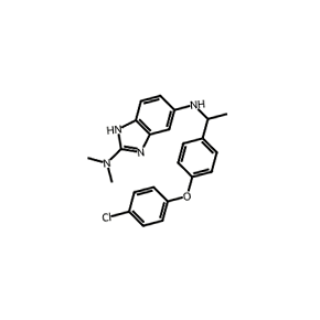 CC(Nc1ccc2[nH]c(N(C)C)nc2c1)c1ccc(Oc2ccc(Cl)cc2)cc1